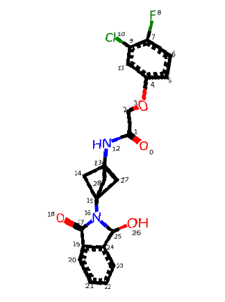 O=C(COc1ccc(F)c(Cl)c1)NC12CC(N3C(=O)c4ccccc4C3O)(C1)C2